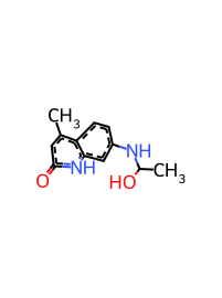 Cc1cc(=O)[nH]c2cc(NC(C)O)ccc12